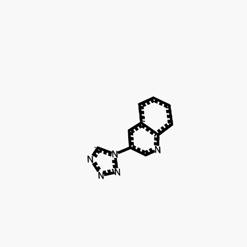 [c]1nnnn1-c1cnc2ccccc2c1